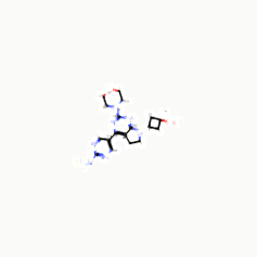 C[C@]1(O)C[C@H](N2CCc3c(-c4cnc(N)nc4)nc(N4CCOCC4)nc32)C1